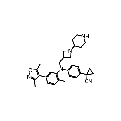 Cc1ccc(-c2c(C)noc2C)cc1N(CC1CN(C2CCNCC2)C1)c1ccc(C2(C#N)CC2)cc1